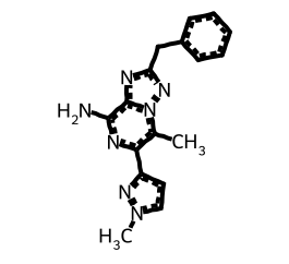 Cc1c(-c2ccn(C)n2)nc(N)c2nc(Cc3ccccc3)nn12